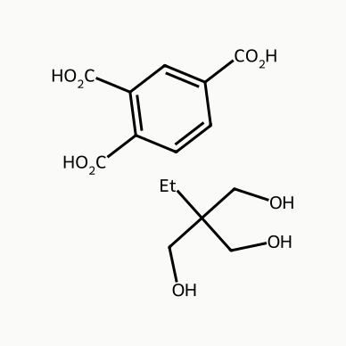 CCC(CO)(CO)CO.O=C(O)c1ccc(C(=O)O)c(C(=O)O)c1